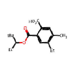 CCc1cc(C(=O)OC(CC)C(C)(C)C)c(C(=O)O)cc1C